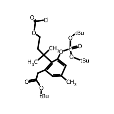 Cc1cc(CC(=O)OC(C)(C)C)c(C(C)(C)CCOC(=O)Cl)c(OP(=O)(OC(C)(C)C)OC(C)(C)C)c1